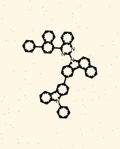 c1ccc(-c2ccc(-c3nc(-n4c5ccc(-c6ccc7c(c6)c6ccccc6n7-c6ccccc6)cc5c5c6ccccc6ccc54)nc4ccccc34)c3ccccc23)cc1